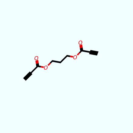 C#CC(=O)OCCCOC(=O)C#C